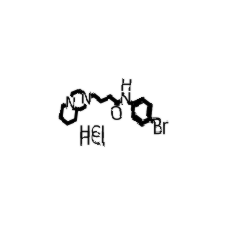 Cl.Cl.O=C(CCCN1CCN2CCCCC2C1)Nc1ccc(Br)cc1